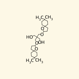 CC1(C)CCC2(CCC(OCC(CO)(CO)COC3CCC4(CCC(C)(C)CC4)O3)O2)CC1